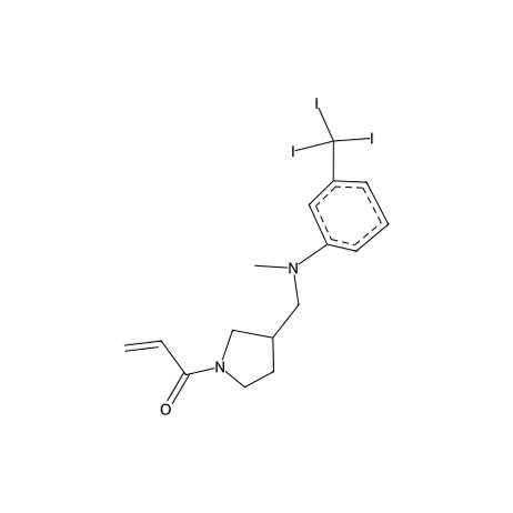 C=CC(=O)N1CCC(CN(C)c2cccc(C(I)(I)I)c2)C1